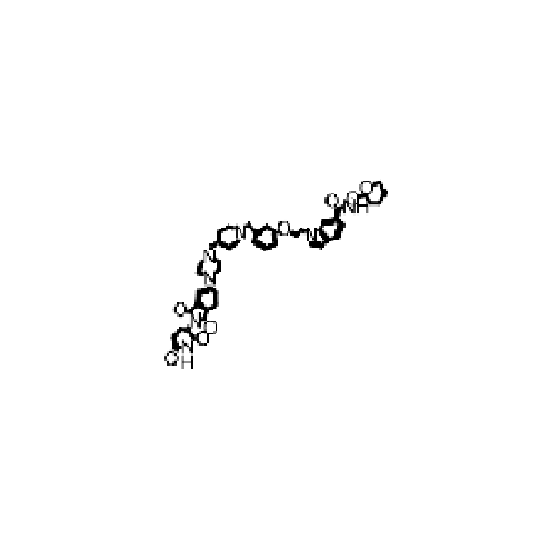 O=C1CCC(N2C(=O)c3ccc(N4CCN(CC5CCN(Cc6cccc(OCCn7ccc8ccc(C(=O)NOC9CCCCO9)cc87)c6)CC5)CC4)cc3C2=O)C(=O)N1